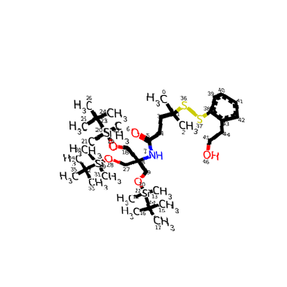 CC(C)(CCC(=O)NC(CO[Si](C)(C)C(C)(C)C)(CO[Si](C)(C)C(C)(C)C)CO[Si](C)(C)C(C)(C)C)SSc1ccccc1CCO